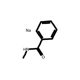 CNC(=O)c1ccccc1.[Na]